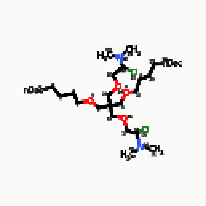 CCCCCCCCCCCCCCOCC(COCCCCCCCCCCCCCC)(COCC(Cl)N(C)C)COCC(Cl)N(C)C